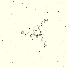 OCCOC1CN(OCCO)NN(OCCO)C1